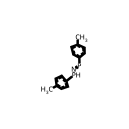 Cc1ccc(P=NPc2ccc(C)cc2)cc1